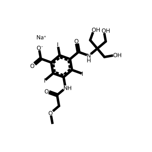 COCC(=O)Nc1c(I)c(C(=O)[O-])c(I)c(C(=O)NC(CO)(CO)CO)c1I.[Na+]